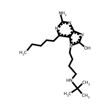 CCCCCc1nc(N)nc2nc(O)n(CCCCNC(C)(C)C)c12